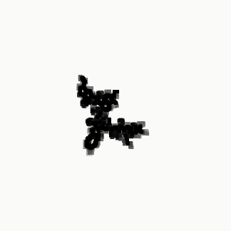 CCC1CCc2c1cc1n(c2=O)Cc2c-1nc1cc(F)c(C)c3c1c2[C@@H](NC(=O)CNC(=O)[C@H](Cc1ccccc1)NC(=O)CNC(=O)CNC(=O)C(N)CC(=O)OC(C)(C)C)CC3